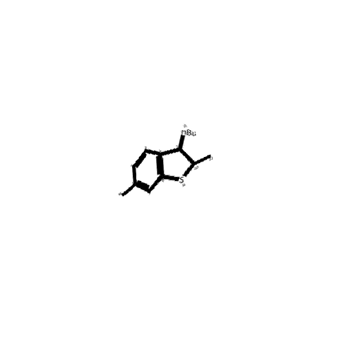 CCCCC1c2ccc(C)cc2SC1C